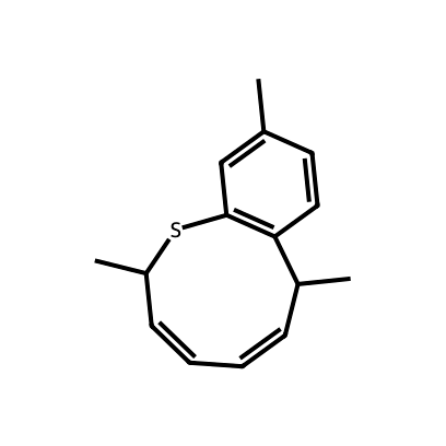 Cc1ccc2c(c1)SC(C)/C=C\C=C/C2C